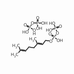 CC(C)=CCC/C(C)=C/COP(=O)(O)OP(=O)(O)O.O=P(O)(O)OP(=O)(O)O